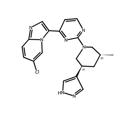 C[C@@H]1C[C@@H](c2cn[nH]c2)CN(c2nccc(-c3cnc4ccc(Cl)cn34)n2)C1